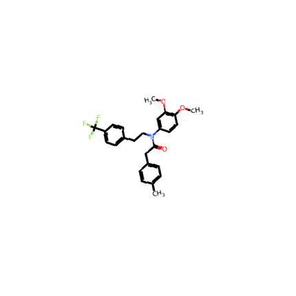 COc1ccc(N(CCc2ccc(C(F)(F)F)cc2)C(=O)Cc2ccc(C)cc2)cc1OC